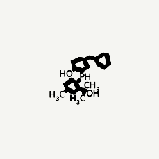 Cc1ccc(Pc2cc(CC3C=CC=CC3)ccc2O)c(C(C)(C)O)c1